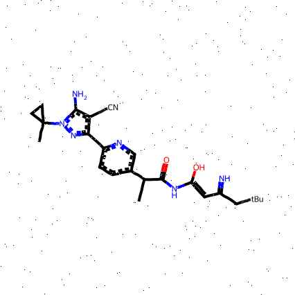 CC(C(=O)N/C(O)=C/C(=N)CC(C)(C)C)c1ccc(-c2nn(C3(C)CC3)c(N)c2C#N)nc1